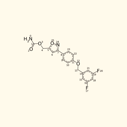 NC(=O)OCc1cc(-c2ccc(OCc3cc(F)cc(F)c3)cc2)no1